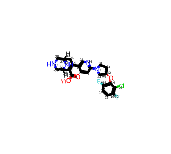 O=C(O)C1=C(c2ccc(N3CC[C@@H](Oc4c(F)ccc(F)c4Cl)C3)nc2)C[C@H]2CNC[C@@H]1N2